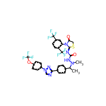 CC(c1ccc(-c2ncn(-c3ccc(OC(F)(F)F)cc3)n2)cc1)N(C)NC(=O)/N=C1\SCC(=O)N1c1cc(C(F)(F)F)ccc1C(F)(F)F